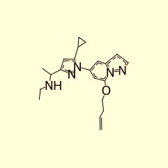 C=CCCOc1cc(-n2nc(C(C)NCC)cc2C2CC2)cc2ccnn12